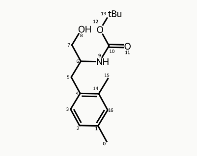 Cc1ccc(CC(CO)NC(=O)OC(C)(C)C)c(C)c1